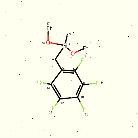 CCO[Si](C)(Cc1c(F)c(F)c(F)c(F)c1F)OCC